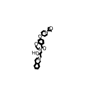 O=C1c2ccc(OC3CCN(C4COC4)CC3)cc2OCCN1C[C@H](O)CN1CCc2ccccc2C1